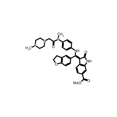 COC(=O)c1ccc2c(c1)NC(=O)/C2=C(\Nc1ccc(N(C)C(=O)CN2CCN(C)CC2)cc1)c1ccc2c(c1)CCO2